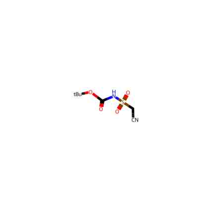 CC(C)(C)OC(=O)NS(=O)(=O)CC#N